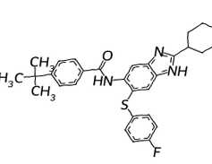 CC(C)(C)c1ccc(C(=O)Nc2cc3nc(C4CCCCC4)[nH]c3cc2Sc2ccc(F)cc2)cc1